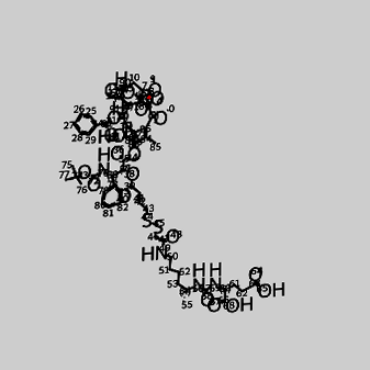 CO[C@H]1C(=O)[C@]2(C)[C@@H](OC)C[C@H]3OC[C@@]3(OC(C)=O)[C@H]2[C@H](OC(=O)c2ccccc2)[C@]2(O)C[C@H](OC(=O)[C@H](OC(=O)CCCSSCC(=O)NCCCC[C@@H](C)NC(=O)N[C@@H](CCC(=O)O)C(=O)O)[C@@H](NC(=O)OC(C)(C)C)c3ccccc3)C(C)=C1C2(C)C